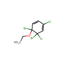 O=C(O)COC1(Br)C=CC(Cl)=CC1(Cl)Br